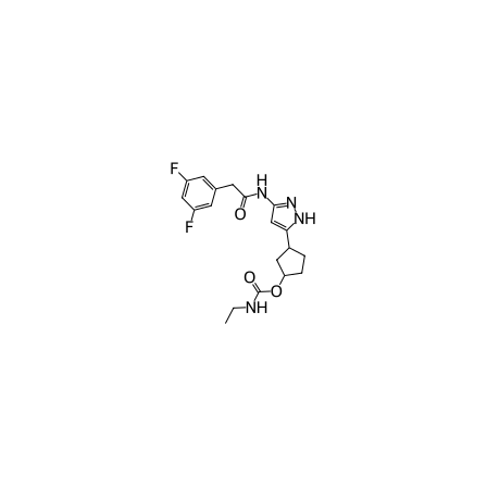 CCNC(=O)OC1CCC(c2cc(NC(=O)Cc3cc(F)cc(F)c3)n[nH]2)C1